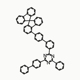 c1ccc(-c2ccc(-c3nc(-c4ccccc4)nc(-c4cccc(-c5ccc(-c6cccc7c6-c6ccccc6C76c7ccccc7-c7ccccc76)cc5)c4)n3)cc2)cc1